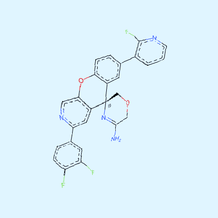 NC1=N[C@@]2(COC1)c1cc(-c3cccnc3F)ccc1Oc1cnc(-c3ccc(F)c(F)c3)cc12